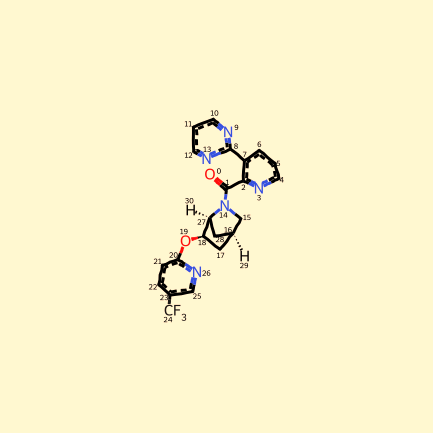 O=C(c1ncccc1-c1ncccn1)N1C[C@H]2C[C@@H](Oc3ccc(C(F)(F)F)cn3)[C@@H]1C2